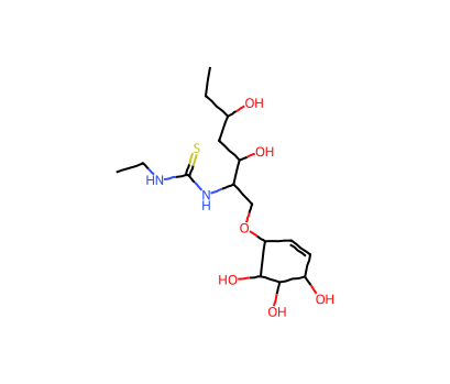 CCNC(=S)NC(COC1C=CC(O)C(O)C1O)C(O)CC(O)CC